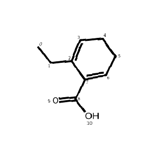 CCC1=CCCC=C1C(=O)O